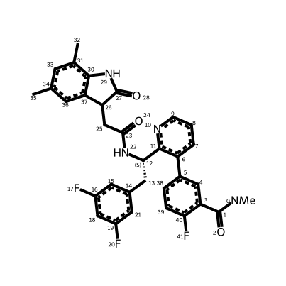 CNC(=O)c1cc(-c2cccnc2[C@H](Cc2cc(F)cc(F)c2)NC(=O)CC2C(=O)Nc3c(C)cc(C)cc32)ccc1F